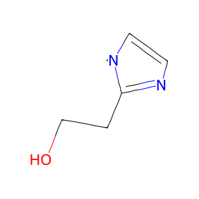 OCCC1=NC=C[N]1